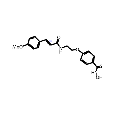 COc1ccc(/C=C/C(=O)NCCOc2ccc(C(=S)NO)cc2)cc1